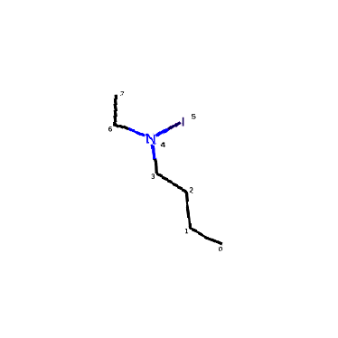 CCCCN(I)CC